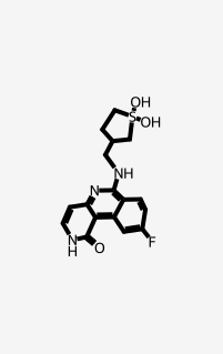 O=c1[nH]ccc2nc(NCC3CCS(O)(O)C3)c3ccc(F)cc3c12